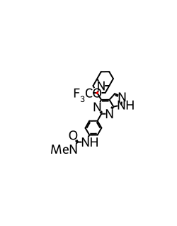 CNC(=O)Nc1ccc(-c2nc(C(N3C4CCCC3COC4)C(F)(F)F)c3cn[nH]c3n2)cc1